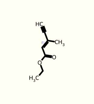 C#C/C(C)=C/C(=O)OCC